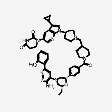 CC[C@H]1CN(c2cc(-c3ccccc3O)nnc2N)C[C@@H](c2ccc(C(=O)N3CCC(CN4CCC(n5cc(C6CC6)c6cc(N7CCC(=O)NC7=O)cnc65)CC4)CC3)cc2)O1